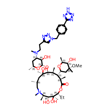 CC[C@H]1OC(=O)[C@H](C)[C@@H](C2C[C@@](C)(OC)[C@@H](O)[C@H](C)O2)[C@H](C)[C@@H](O[C@@H]2O[C@H](C)C[C@H](N(C)CCc3cn(Cc4ccc(-c5nn[nH]n5)cc4)nn3)[C@H]2O)[C@](C)(O)C[C@@H](C)CN(C)[C@H](C)[C@@H](O)[C@]1(C)O